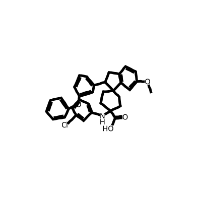 COc1ccc2c(c1)C1(CCC(Nc3cccc(Cl)c3)(C(=O)O)CC1)C(c1cccc(Oc3ccccc3)c1)C2